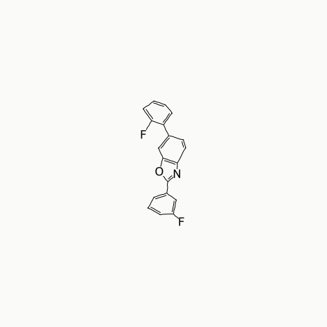 Fc1cccc(-c2nc3ccc(-c4ccccc4F)cc3o2)c1